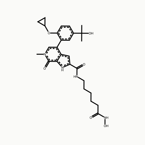 Cn1cc(-c2cc(C(C)(C)O)ccc2OC2CC2)c2cc(C(=O)NCCCCCC(=O)NO)[nH]c2c1=O